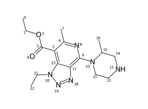 CCOC(=O)c1c(C)nc(N2CCNCC2C)c2nnn(CC)c12